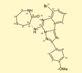 COc1ccc(-c2nc3c4cccc(Br)c4nc(N[C@@H]4CSCCNC4=O)n3n2)cc1